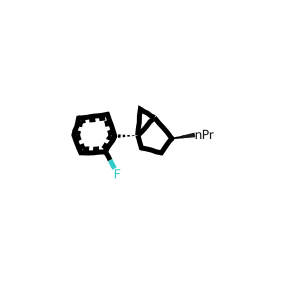 CCC[C@H]1CC[C@@]2(c3ccccc3F)CC12